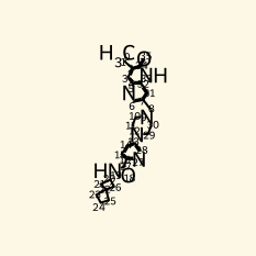 CCc1cc2ncc(CN3CCN(c4ccc(C(=O)NC5CC6(CCC6)C5)nc4)CC3)cc2[nH]c1=O